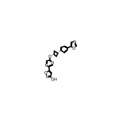 Oc1cc(-c2cnc(O[C@H]3C[C@@H](c4ccc(-c5cnco5)cc4)C3)cn2)on1